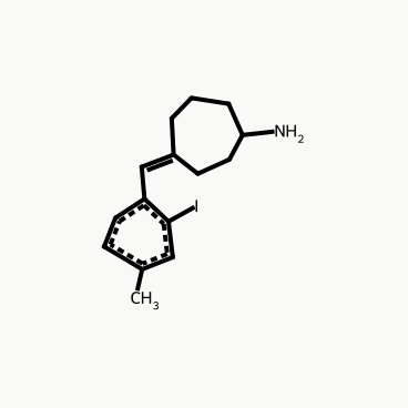 Cc1ccc(/C=C2/CCCC(N)CC2)c(I)c1